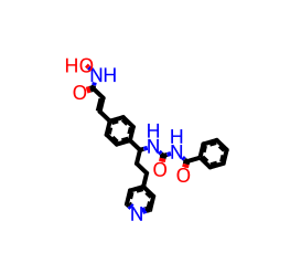 O=C(C=Cc1ccc(C(CCc2ccncc2)NC(=O)NC(=O)c2ccccc2)cc1)NO